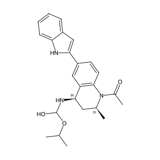 CC(=O)N1c2ccc(-c3cc4ccccc4[nH]3)cc2[C@H](NC(O)OC(C)C)C[C@@H]1C